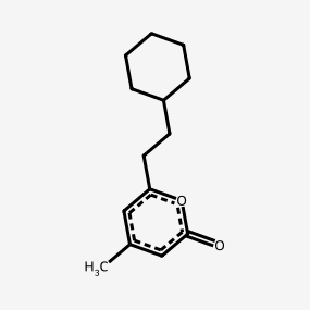 Cc1cc(CCC2CCCCC2)oc(=O)c1